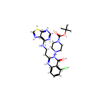 CC(C)(C)OC(=O)N1CCN(n2c(CCNc3ncnc4scnc34)nc3cccc(Cl)c3c2=O)CC1